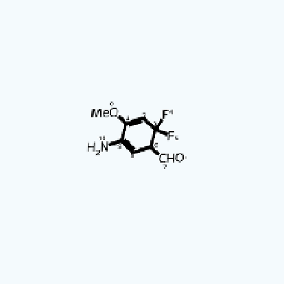 COC1=CC(F)(F)C([C]=O)C=C1N